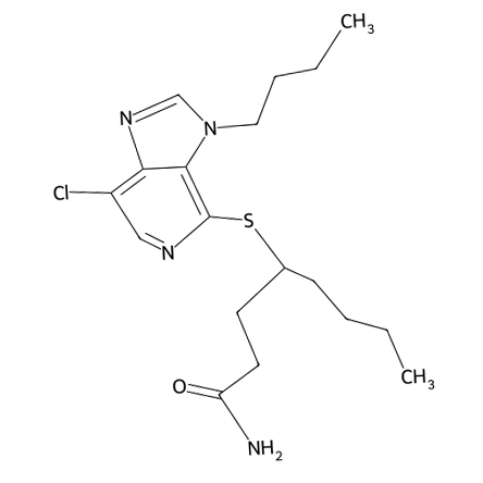 CCCCC(CCC(N)=O)Sc1ncc(Cl)c2ncn(CCCC)c12